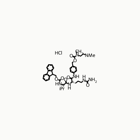 CNCCN(C)C(=O)OCc1ccc(NC(=O)[C@H](CCCNC(N)=O)NC(=O)[C@@H](NC(=O)OCC2c3ccccc3-c3ccccc32)C(C)C)cc1.Cl